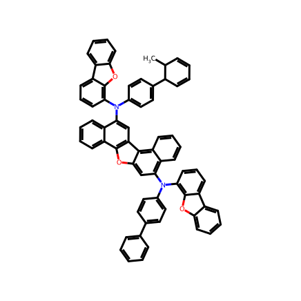 CC1C=CC=CC1c1ccc(N(c2cc3c(oc4cc(N(c5ccc(-c6ccccc6)cc5)c5cccc6c5oc5ccccc56)c5ccccc5c43)c3ccccc23)c2cccc3c2oc2ccccc23)cc1